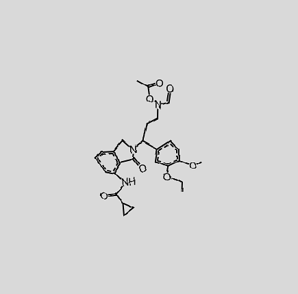 CCOc1cc(C(CCN(C=O)OC(C)=O)N2Cc3cccc(NC(=O)C4CC4)c3C2=O)ccc1OC